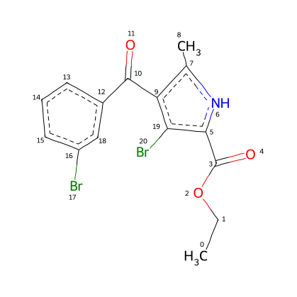 CCOC(=O)c1[nH]c(C)c(C(=O)c2cccc(Br)c2)c1Br